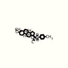 [C-]#[N+]C(=C1CC[C@H]2[C@@H]3CC=C4C=C(OC)CC[C@@H]4[C@H]3CC[C@]12C)S(=O)(=O)c1ccc(C)cc1